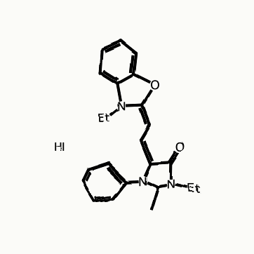 CCN1C(=CC=C2C(=O)N(CC)C(C)N2c2ccccc2)Oc2ccccc21.I